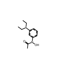 CCN(CC)c1cccc(N(O)C(C)=O)c1